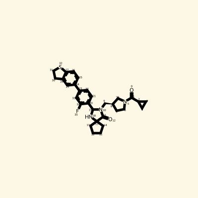 O=C(C1CC1)N1CC[C@@H](CN2C(=O)C3(CCCC3)NC2c2ccc(-c3ccc4c(c3)CCS4)cc2F)C1